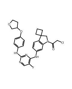 O=C(CCl)N1CC2(CCC2)c2ccc(Nc3nc(Nc4ccc(OC5CCOC5)cc4)ncc3F)cc21